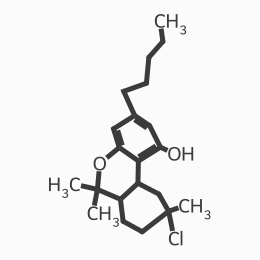 CCCCCc1cc(O)c2c(c1)OC(C)(C)C1CCC(C)(Cl)CC21